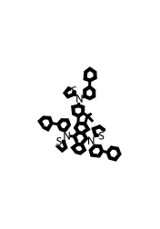 CC1(C)c2cc(N(c3cccc(-c4ccccc4)c3)c3cccs3)ccc2-c2cc3c(N(c4cccc(-c5ccccc5)c4)c4cccs4)c4ccccc4c(N(c4cccc(-c5ccccc5)c4)c4cccs4)c3cc21